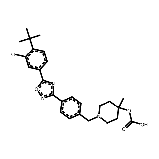 CC1(OC(=O)O)CCN(Cc2ccc(-c3noc(-c4ccc(C(C)(C)C)c(Cl)c4)n3)cc2)CC1